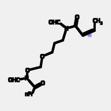 C/C=C\C(=O)N(C=O)CCCOCON(C=O)C(=O)CCC